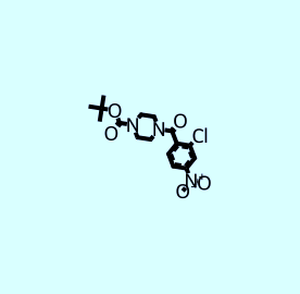 CC(C)(C)OC(=O)N1CCN(C(=O)c2ccc([N+](=O)[O-])cc2Cl)CC1